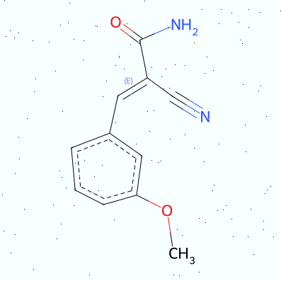 COc1cccc(/C=C(\C#N)C(N)=O)c1